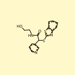 O=C(NCCO)C(Sc1nc2ccccc2s1)c1cccnc1